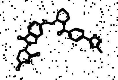 Cc1noc(-c2ccc(C(=O)N3CCCC[C@@H]3COc3ccc4c(c3)CN(C3CCC(=O)NC3=O)C4=O)cc2)n1